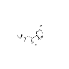 CCOC(=O)CC(N)c1cc(Br)ccn1